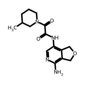 CC1CCCN(C(=O)C(=O)Nc2cnc(N)c3c2COC3)C1